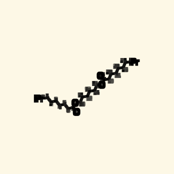 CC(C)CCCCCCC(=O)OCCCCCCOC(=O)CCCCCCC(C)C